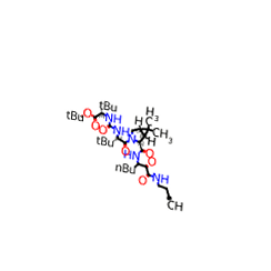 C#CCCNC(=O)C(=O)C(CCCC)NC(=O)[C@@H]1[C@@H]2[C@H](CN1C(=O)[C@@H](NC(=O)N[C@H](C(=O)OC(C)(C)C)C(C)(C)C)C(C)(C)C)C2(C)C